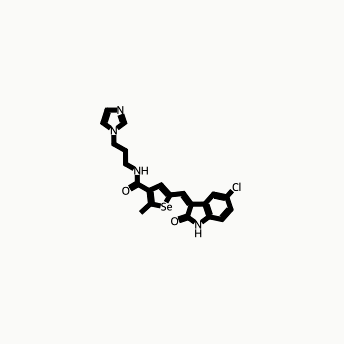 Cc1[se]c(C=C2C(=O)Nc3ccc(Cl)cc32)cc1C(=O)NCCCn1ccnc1